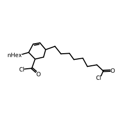 CCCCCCC1C=CC(CCCCCCCC(=O)Cl)CC1C(=O)Cl